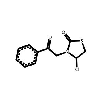 O=C(CN1C(=O)SCC1Cl)c1ccccc1